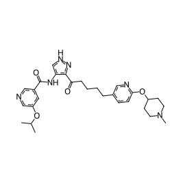 CC(C)Oc1cncc(C(=O)Nc2c[nH]nc2C(=O)CCCCc2ccc(OC3CCN(C)CC3)nc2)c1